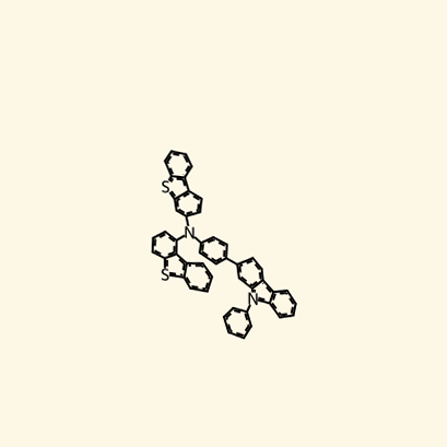 c1ccc(-n2c3ccccc3c3ccc(-c4ccc(N(c5ccc6c(c5)sc5ccccc56)c5cccc6sc7ccccc7c56)cc4)cc32)cc1